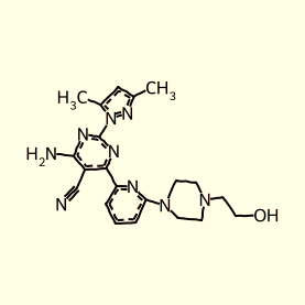 Cc1cc(C)n(-c2nc(N)c(C#N)c(-c3cccc(N4CCN(CCO)CC4)n3)n2)n1